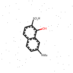 CNc1ccc2ccc(S(=O)(=O)O)c(O)c2c1